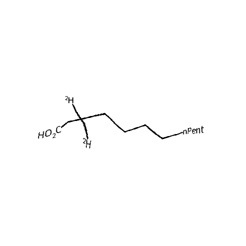 [2H]C([2H])(CCCCCCCCC)C(=O)O